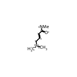 CNC(=O)C=CCN(C)C